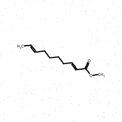 CC=CCCCCC=CC(=O)OC